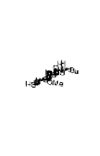 COc1cc2c(Oc3ccc(NC(=O)NCCC(C)(C)C)c(Cl)c3)ccnc2cc1OCCCN1CCC(O)CC1